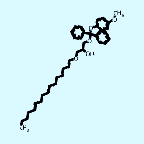 CCCCCCCCCCCCCCCCOCC(O)COC(Oc1ccc(OC)cc1)(c1ccccc1)c1ccccc1